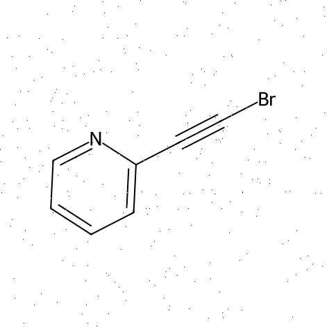 BrC#Cc1ccccn1